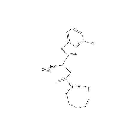 C.C.CC(CC(=O)N1[CH]CCCCCC1)c1nc2c(Cl)cccc2s1